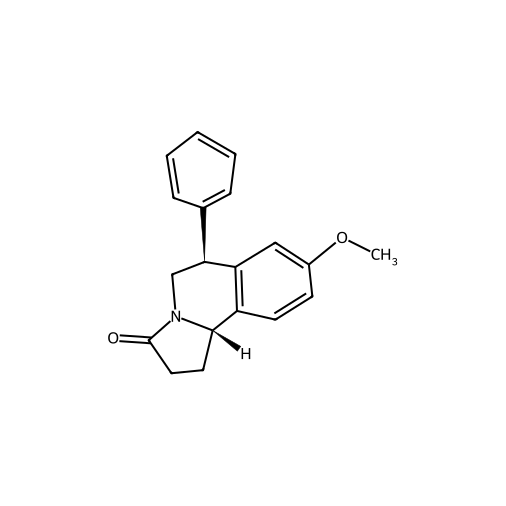 COc1ccc2c(c1)[C@H](c1ccccc1)CN1C(=O)CC[C@@H]21